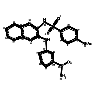 CC(=O)Nc1ccc(S(=O)(=O)Nc2nc3ccccc3nc2Nc2cccc([S+](N)[O-])c2)cc1